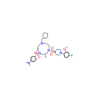 COc1cc(F)ccc1N1CCN(S(=O)(=O)N2CCCN(CC3CCCCC3)CCCN(S(=O)(=O)c3ccc(N(C)C)cc3)C[C@H](C)C2)CC1